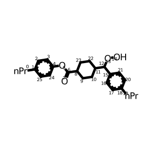 CCCc1ccc(OC(=O)C2CCC(C(OO)c3ccc(CCC)cc3)CC2)cc1